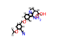 Cc1c(OCc2ccc(OC(C)C)c(C#N)c2)ccc2c1c(N)c1n2CCC1CC(=O)O